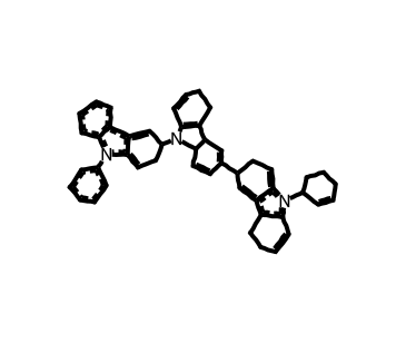 C1=CC(n2c3c(c4c2=CCC(C2=CC5C6=C(C=CCC6)N(C6C=c7c(n(-c8ccccc8)c8ccccc78)=CC6)C5C=C2)C=4)CCC=C3)CCC1